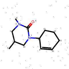 CC1CN(C)C(=O)N(C2C=CCCC2)C1